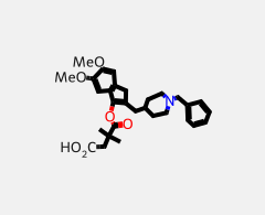 COc1cc2c(cc1OC)C(OC(=O)C(C)(C)CC(=O)O)=C(CC1CCN(Cc3ccccc3)CC1)C2